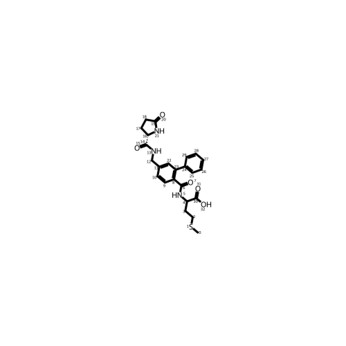 CSCCC(NC(=O)c1ccc(CNC(=O)[C@@H]2CCC(=O)N2)cc1-c1ccccc1)C(=O)O